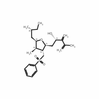 C=C(C)C(=C)[C@@H](O)C[C@@H]1O[C@H](C[C@H](C)CC)[C@H](C)[C@H]1CS(=O)(=O)c1ccccc1